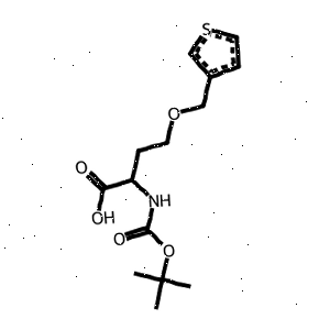 CC(C)(C)OC(=O)NC(CCOCc1ccsc1)C(=O)O